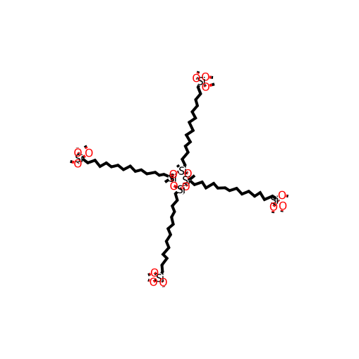 CO[Si](CCCCCCCCCCCCCC[Si]1(C)O[Si](C)(CCCCCCCCCCCCCC[Si](OC)(OC)OC)O[Si](C)(CCCCCCCCCCCCCC[Si](OC)(OC)OC)O[Si](C)(CCCCCCCCCCCCCC[Si](OC)(OC)OC)O1)(OC)OC